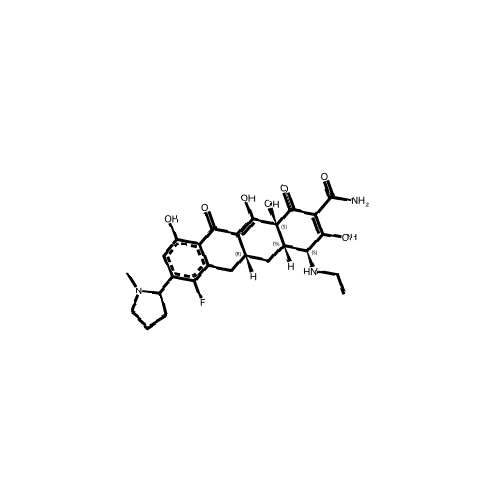 CCN[C@@H]1C(O)=C(C(N)=O)C(=O)[C@@]2(O)C(O)=C3C(=O)c4c(O)cc(C5CCCN5C)c(F)c4C[C@H]3C[C@@H]12